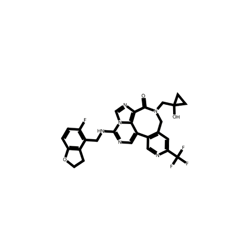 O=C1c2ncn3c(NCc4c(F)ccc5c4CCO5)ncc(c23)-c2cnc(C(F)(F)F)cc2CN1CC1(O)CC1